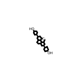 Oc1ccc(-c2cc3ccc4cc(-c5ccc(O)cc5)cc5ccc(c2)c3c45)cc1